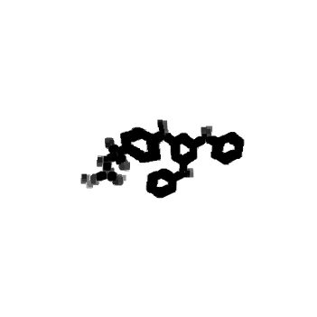 O=S(=O)(N[S+]([O-])C(F)(F)F)c1ccc(Nc2cc(Nc3ccccc3)cc(Nc3ccccc3)c2)cc1